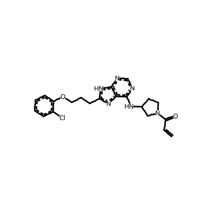 C=CC(=O)N1CCC(Nc2ncnc3[nH]c(CCCOc4ccccc4Cl)nc23)C1